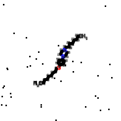 C=CCCCCCCCOc1ccc(N2CCN(CCCCCCCC)CC2)cc1